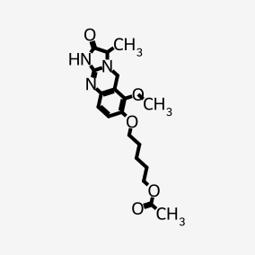 COc1c(OCCCCCOC(C)=O)ccc2c1CN1C(=N2)NC(=O)C1C